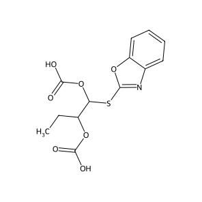 CCC(OC(=O)O)C(OC(=O)O)Sc1nc2ccccc2o1